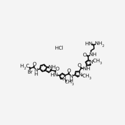 C=C(Br)C(=O)Nc1ccc2[nH]c(C(=O)Nc3cc(C(=O)Nc4cc(C(=O)Nc5cc(C(=O)NCCC(=N)N)n(C)c5)n(C)c4)n(C)c3)cc2c1.Cl